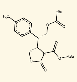 CC(C)(C)OC(=O)N1[C@@H]([C@@H](COC(=O)C(C)(C)C)c2ccc(C(F)(F)F)cc2)COS1=O